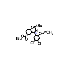 C=CCOc1cc(Cl)c(Cl)cc1/C(=N/[S+]([O-])C(C)(C)C)[C@@H]1CCCN(C(=O)OC(C)(C)C)C1